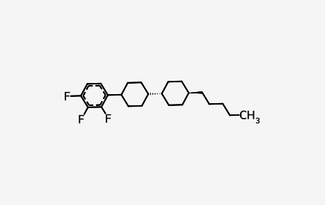 CCCCC[C@H]1CC[C@H](C2CCC(c3ccc(F)c(F)c3F)CC2)CC1